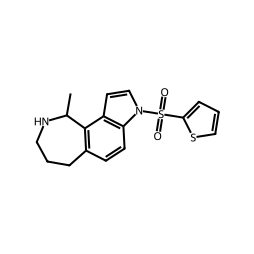 CC1NCCCc2ccc3c(ccn3S(=O)(=O)c3cccs3)c21